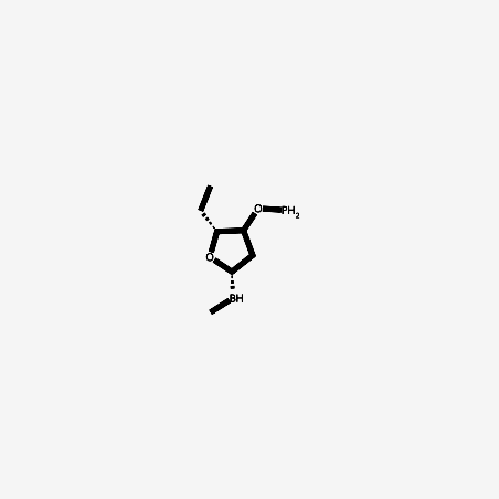 CB[C@H]1CC(OP)[C@@H](CC)O1